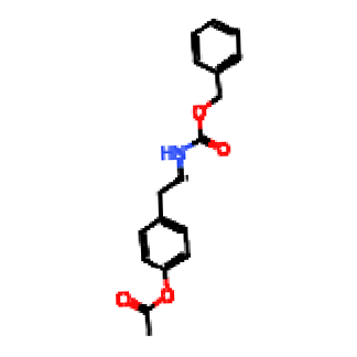 CC(=O)Oc1ccc(C[CH]NC(=O)OCc2ccccc2)cc1